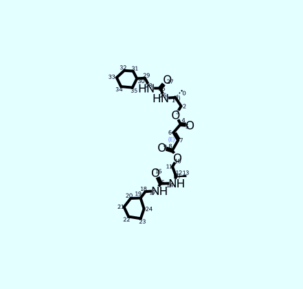 C[C@H](COC(=O)/C=C/C(=O)OC[C@@H](C)NC(=O)NCC1CCCCC1)NC(=O)NCC1CCCCC1